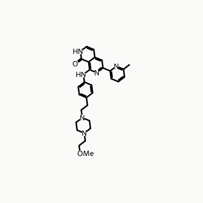 COCCN1CCN(CCc2ccc(Nc3nc(-c4cccc(C)n4)cc4cc[nH]c(=O)c34)cc2)CC1